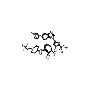 C[C@@H](Oc1cc(-n2cnc3cc(-c4cnn(C)c4)ccc32)sc1C(=O)O)c1cccc(OC2CCN(CCC(F)(F)F)CC2)c1Cl